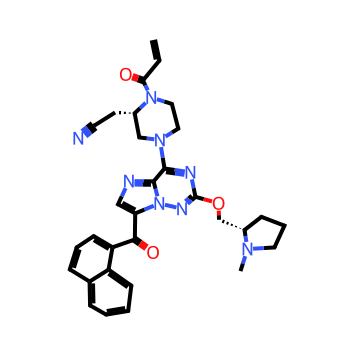 C=CC(=O)N1CCN(c2nc(OC[C@@H]3CCCN3C)nn3c(C(=O)c4cccc5ccccc45)cnc23)C[C@@H]1CC#N